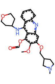 COc1c(OCC2CCN(C)C2)cc2nc3ccccc3c(NC3CCOCC3)c2c1OC=O